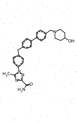 Cc1nc(C(N)=O)nn1-c1ccc(Cc2ccc(-c3ccc(CN4CCC(O)CC4)cc3)cc2)cc1